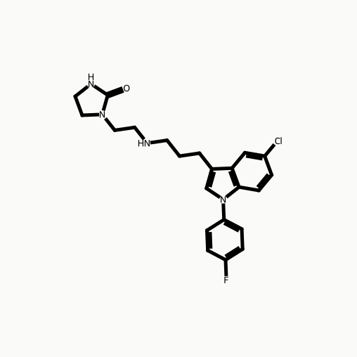 O=C1NCCN1CCNCCCc1cn(-c2ccc(F)cc2)c2ccc(Cl)cc12